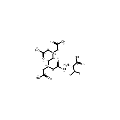 CC(C)[C@H](N)C(=O)O.O=C(O)CN(CCN(CC(=O)O)CC(=O)O)CC(=O)O